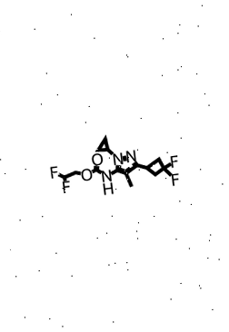 Cc1c(C2CC(F)(F)C2)nn(C2CC2)c1NC(=O)OCC(F)F